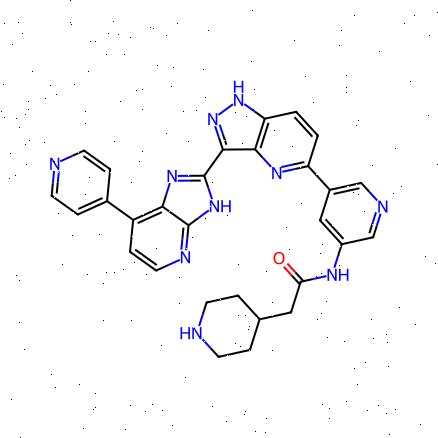 O=C(CC1CCNCC1)Nc1cncc(-c2ccc3[nH]nc(-c4nc5c(-c6ccncc6)ccnc5[nH]4)c3n2)c1